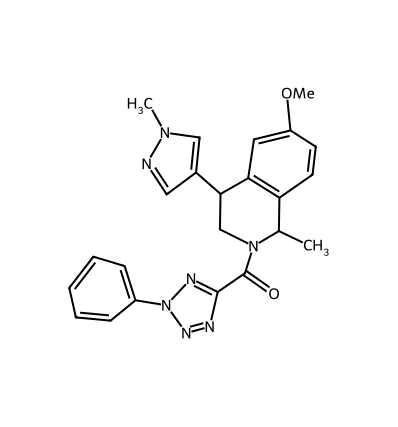 COc1ccc2c(c1)C(c1cnn(C)c1)CN(C(=O)c1nnn(-c3ccccc3)n1)C2C